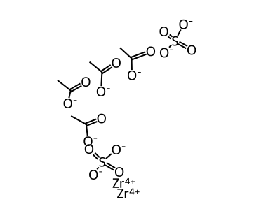 CC(=O)[O-].CC(=O)[O-].CC(=O)[O-].CC(=O)[O-].O=S(=O)([O-])[O-].O=S(=O)([O-])[O-].[Zr+4].[Zr+4]